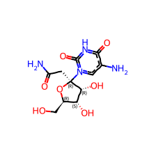 NC(=O)C[C@@]1(n2cc(N)c(=O)[nH]c2=O)O[C@H](CO)[C@@H](O)[C@H]1O